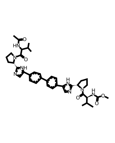 COC(=O)N[C@H](C(=O)N1CCC[C@H]1c1ncc(-c2ccc(-c3ccc(-c4cnc([C@@H]5CCCN5C(=O)C(NC(C)=O)C(C)C)[nH]4)cc3)cc2)[nH]1)C(C)C